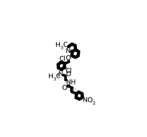 Cc1ccc2cccc(OCc3c(Cl)ccc(N(C)C(=O)CNC(=O)/C=C/c4ccc([N+](=O)[O-])cc4)c3Cl)c2n1